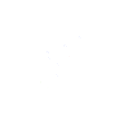 O=C(Nc1cccnc1)c1cnn2ccc(N3CCCC3C(F)(F)F)nc12